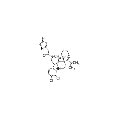 CN(C)C(=O)C1([N+]2(CCC(CN(C)C(=O)Cc3c[nH]cn3)c3ccc(Cl)c(Cl)c3)CCCCC2)CCNCC1